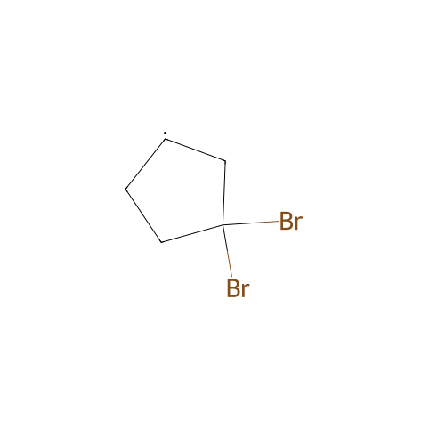 BrC1(Br)C[CH]CC1